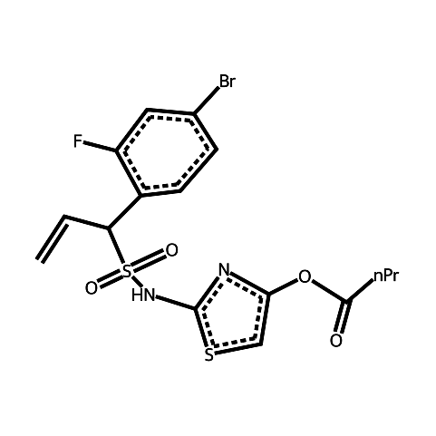 C=CC(c1ccc(Br)cc1F)S(=O)(=O)Nc1nc(OC(=O)CCC)cs1